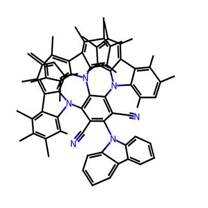 Cc1cc(C)c2c(c1C)c1c(C)c(C)c(C)c(C)c1n2-c1c(C#N)c(-n2c3ccccc3c3ccccc32)c(C#N)c(-n2c3c(C)cc(C)c(C)c3c3c(C)c(C)c(C)c(C)c32)c1-n1c2c(C)c(C)c(C)c(C)c2c2c(C)c(C)c(C)c(C)c21